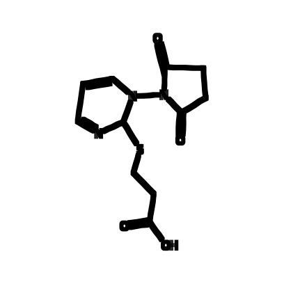 O=C(O)CCSC1N=CC=CN1N1C(=O)CCC1=O